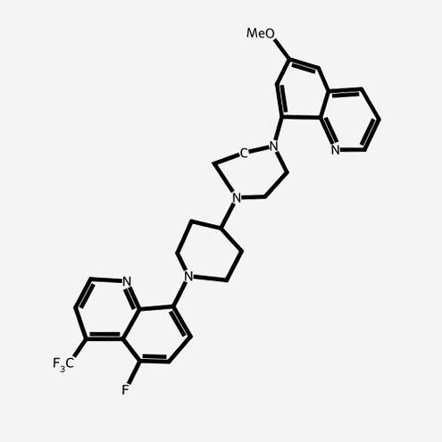 COc1cc(N2CCN(C3CCN(c4ccc(F)c5c(C(F)(F)F)ccnc45)CC3)CC2)c2ncccc2c1